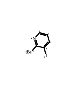 [CH2]C(C)(C)c1ncccc1I